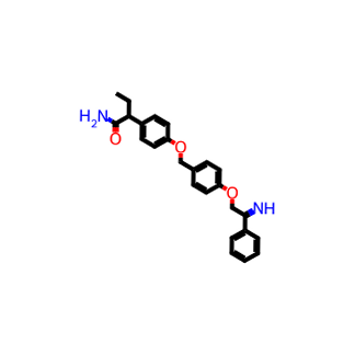 CCC(C(N)=O)c1ccc(OCc2ccc(OCC(=N)c3ccccc3)cc2)cc1